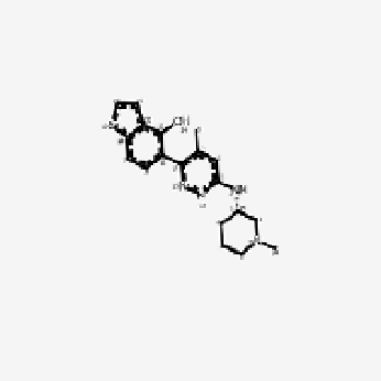 Cc1cc(N[C@H]2CCCN(C)C2)nnc1-c1ccc2sccc2c1O